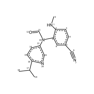 CNc1ccc(C#N)cc1N(C=O)c1ccc(C(C)C)nc1